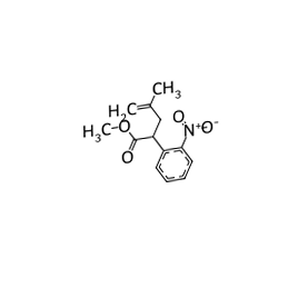 C=C(C)CC(C(=O)OC)c1ccccc1[N+](=O)[O-]